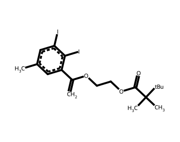 C=C(OCCOC(=O)C(C)(C)C(C)(C)C)c1cc(C)cc(I)c1I